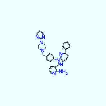 Nc1ncccc1-c1nc2ccc(-c3ccccc3)nc2n1-c1ccc(CN2CCN(c3ncccn3)CC2)cc1